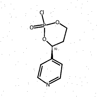 O=P1(Cl)OCC[C@@H](c2ccncc2)O1